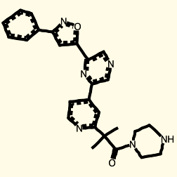 CC(C)(C(=O)N1CCNCC1)c1cc(-c2cncc(-c3cc(-c4ccccc4)no3)n2)ccn1